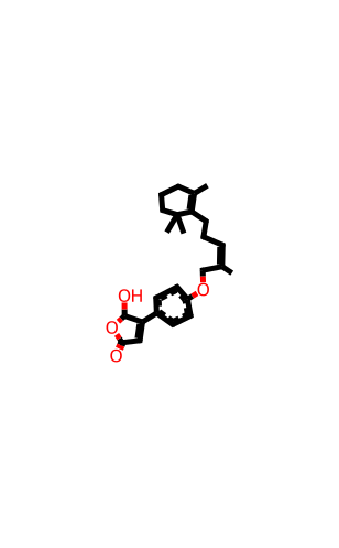 CC(=CCCC1=C(C)CCCC1(C)C)COc1ccc(C2=CC(=O)OC2O)cc1